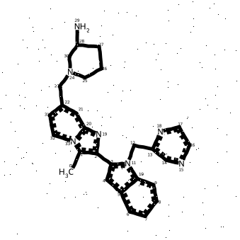 Cc1c(-c2cc3ccccc3n2Cc2cnccn2)nc2cc(CN3CCCC(N)C3)ccn12